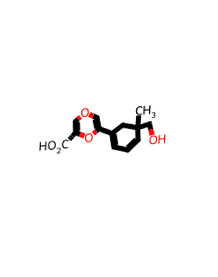 CC1(CO)C=CC=C(C2=COC=C(C(=O)O)O2)C1